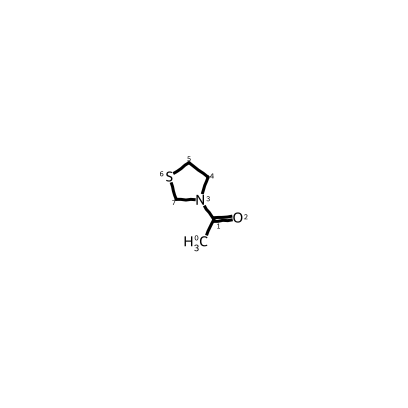 CC(=O)N1CCSC1